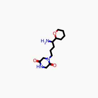 NC(CCCN1CC(=O)NCC1=O)C1CCCCO1